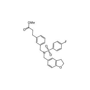 COC(=O)CCc1cccc(CN(Cc2ccc3c(c2)CCO3)S(=O)(=O)c2ccc(F)cc2)c1